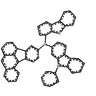 c1ccc(-n2c3ccccc3c3ccc(N(c4ccc5c(c4)-c4cccc6cc7ccccc7c-5c46)c4cccc5c4sc4ccccc45)cc32)cc1